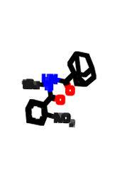 CC(C)(C)N(NC(=O)C12CC3CC(CC(C3)C1)C2)C(=O)c1ccccc1[N+](=O)[O-]